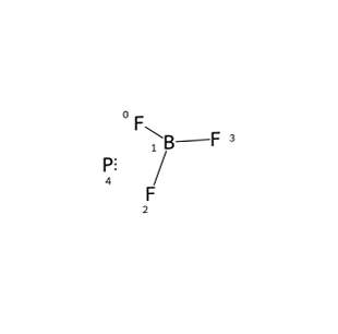 FB(F)F.[P]